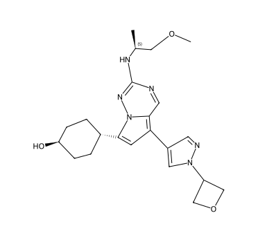 COC[C@H](C)Nc1ncc2c(-c3cnn(C4COC4)c3)cc([C@H]3CC[C@H](O)CC3)n2n1